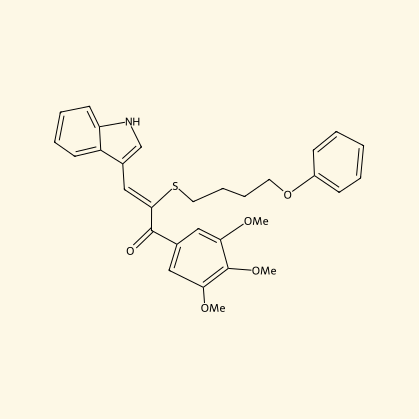 COc1cc(C(=O)C(=Cc2c[nH]c3ccccc23)SCCCCOc2ccccc2)cc(OC)c1OC